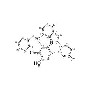 Cc1c(-n2c(-c3ccc(F)cc3)cc3cccc(OCc4ccccc4)c32)ccc(O)c1Cl